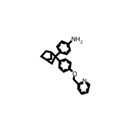 Nc1ccc(C2(c3ccc(OCc4ccccn4)cc3)CC3CCC2C3)cc1